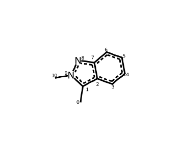 Cc1c2c[c]ccc2nn1C